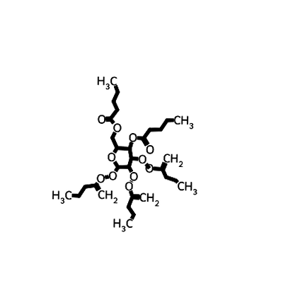 C=C(CCC)OOC1OC(COC(=O)CCCC)C(OC(=O)CCCC)C(OOC(=C)CCC)C1OOC(=C)CCC